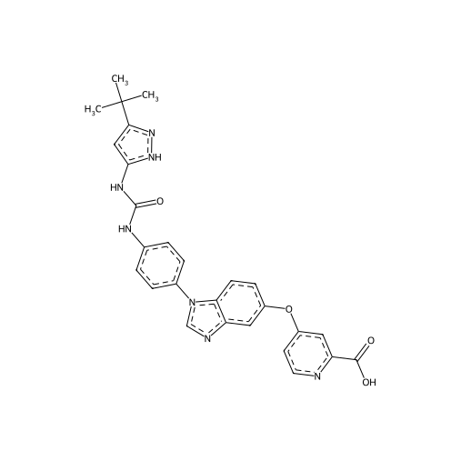 CC(C)(C)c1cc(NC(=O)Nc2ccc(-n3cnc4cc(Oc5ccnc(C(=O)O)c5)ccc43)cc2)[nH]n1